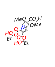 CCC(O)OC(=O)c1[c]c2c(OC)c(C(=O)O)c(OC)cn2c1C(=O)OC(O)CC